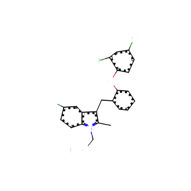 Cc1c(Cc2ccccc2Oc2ccc(Cl)cc2Cl)c2cc(F)ccc2n1CC(=O)O